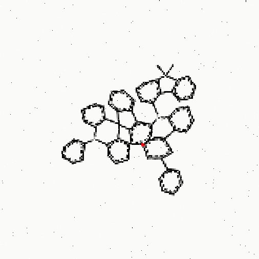 CC1(C)c2ccccc2-c2c(N(c3ccccc3-c3cccc(-c4ccccc4)c3)c3cccc4c3-c3ccccc3C43c4ccccc4N(c4ccccc4)c4ccccc43)cccc21